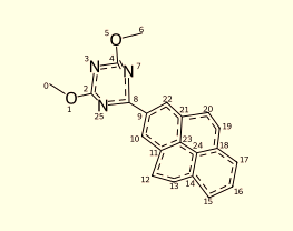 COc1nc(OC)nc(-c2cc3ccc4cccc5ccc(c2)c3c45)n1